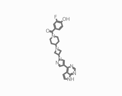 O=C(c1ccc(O)c(F)c1)N1CCC(N2CC(n3cc(-c4ncnc5[nH]ccc45)cn3)C2)CC1